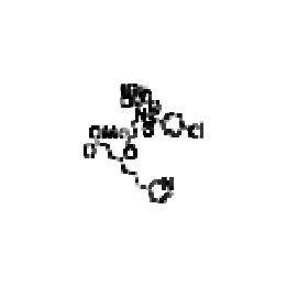 COC(=O)CCC(CCCc1cccnc1)OCCCN(C(=O)OC(C)(C)C)S(=O)(=O)c1ccc(Cl)cc1